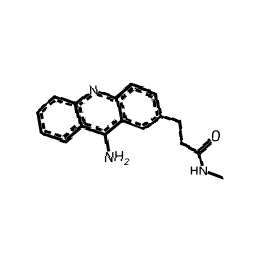 CNC(=O)CCc1ccc2nc3ccccc3c(N)c2c1